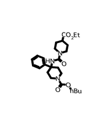 CCCCOC(=O)N1CCC(NC(=O)N2CCC(C(=O)OCC)CC2)(c2ccccc2)CC1